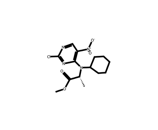 COC(=O)[C@@H](C)N(c1nc(Cl)ncc1[N+](=O)[O-])C1CCCCC1